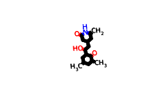 C=C1CC(CC(O)C2CC(C)CC(C)C2=O)CC(=O)N1